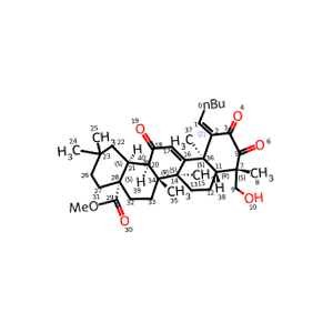 CCCC/C=C1\C(=O)C(=O)[C@](C)(CO)[C@@H]2CC[C@]3(C)C(=CC(=O)[C@@H]4[C@@H]5CC(C)(C)CC[C@]5(C(=O)OC)CC[C@]43C)[C@@]12C